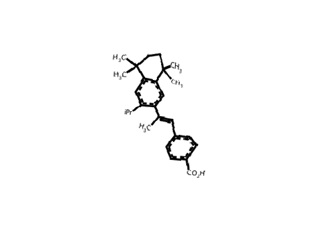 CC(=Cc1ccc(C(=O)O)cc1)c1cc2c(cc1C(C)C)C(C)(C)CCC2(C)C